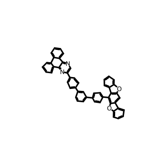 c1cc(-c2ccc(-c3cnc4c5ccccc5c5ccccc5c4n3)cc2)cc(-c2ccc(-c3c4oc5ccccc5c4cc4oc5ccccc5c34)cc2)c1